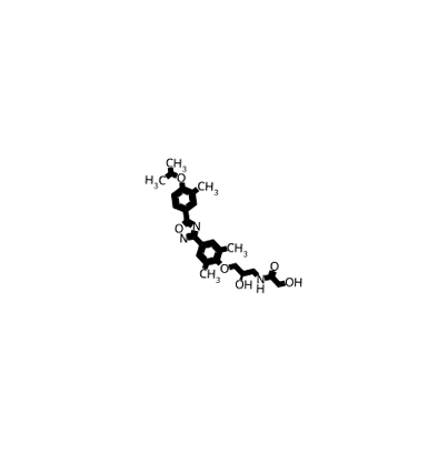 Cc1cc(-c2nc(-c3cc(C)c(OC[C@H](O)CNC(=O)CO)c(C)c3)no2)ccc1OC(C)C